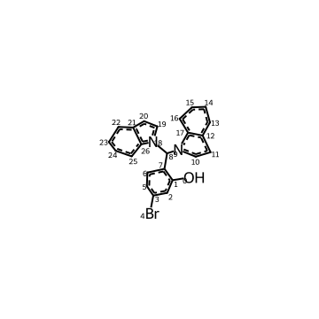 Oc1cc(Br)ccc1C(n1ccc2ccccc21)n1ccc2ccccc21